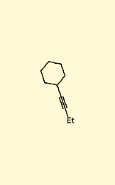 CCC#C[C]1CCCCC1